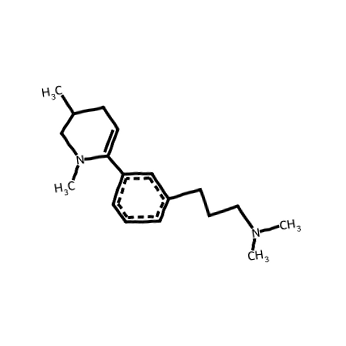 CC1CC=C(c2cccc(CCCN(C)C)c2)N(C)C1